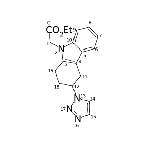 CCOC(=O)Cn1c2c(c3ccccc31)CC(n1ccnn1)CC2